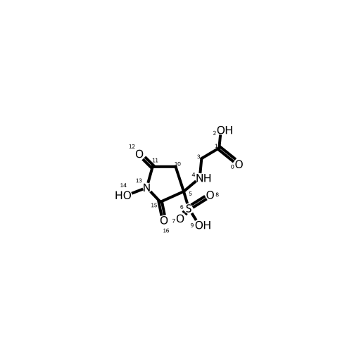 O=C(O)CNC1(S(=O)(=O)O)CC(=O)N(O)C1=O